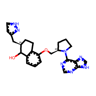 OC1c2cccc(OC[C@H]3CCCN3c3ncnc4[nH]cnc34)c2CC[C@@H]1Cc1cc[nH]n1